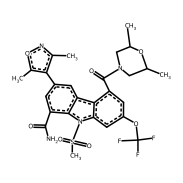 Cc1noc(C)c1-c1cc(C(N)=O)c2c(c1)c1c(C(=O)N3CC(C)OC(C)C3)cc(OC(F)(F)F)cc1n2S(C)(=O)=O